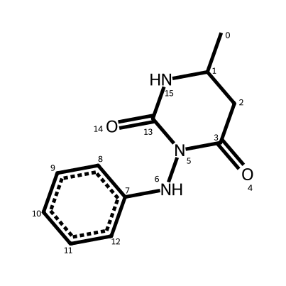 CC1CC(=O)N(Nc2ccccc2)C(=O)N1